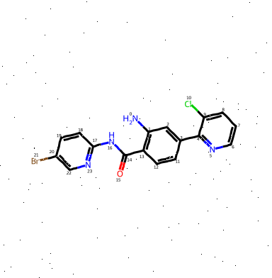 Nc1cc(-c2ncccc2Cl)ccc1C(=O)Nc1ccc(Br)cn1